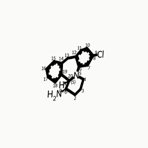 N[C@@H]1CCCN2c3cc(Cl)ccc3Cc3ccccc3[C@@H]12